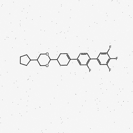 Fc1cc(C2=CCC(C3OCC(C4CCCC4)CO3)CC2)ccc1-c1cc(F)c(F)c(F)c1